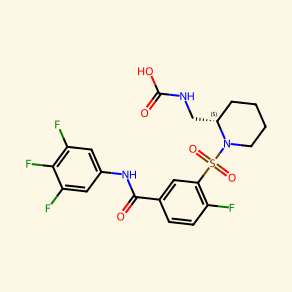 O=C(O)NC[C@@H]1CCCCN1S(=O)(=O)c1cc(C(=O)Nc2cc(F)c(F)c(F)c2)ccc1F